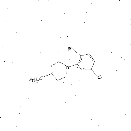 CCOC(=O)C1CCN(c2cc(Cl)ccc2Br)CC1